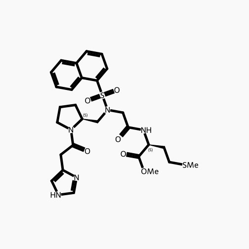 COC(=O)[C@H](CCSC)NC(=O)CN(C[C@@H]1CCCN1C(=O)Cc1c[nH]cn1)S(=O)(=O)c1cccc2ccccc12